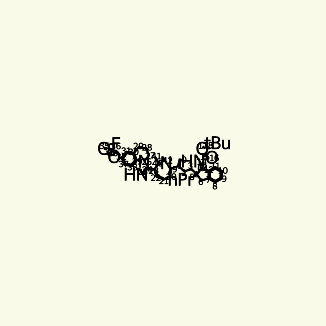 C=C(CCC1(CCC)Cc2ccccc2[C@H]1NC(=O)OC(C)(C)C)C1=CC=C=C(C(=N)N2CCCc3cc(OS(=O)F)ccc32)C(C)=N1